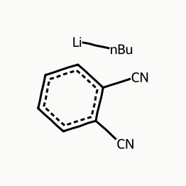 N#Cc1ccccc1C#N.[Li][CH2]CCC